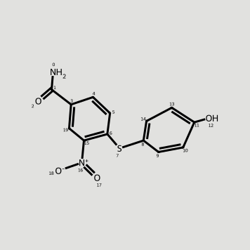 NC(=O)c1ccc(Sc2ccc(O)cc2)c([N+](=O)[O-])c1